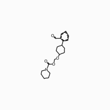 O=Cc1ccccc1C1CCC(OCOC(=O)N2CCCCC2)CC1